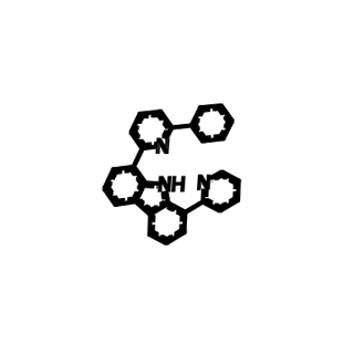 c1ccc(-c2cccc(-c3cccc4c3[nH]c3c(-c5ccccn5)cccc34)n2)cc1